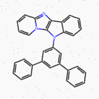 c1ccc(-c2cc(-c3ccccc3)cc(-n3c4ccccc4c4nc5ccccn5c43)c2)cc1